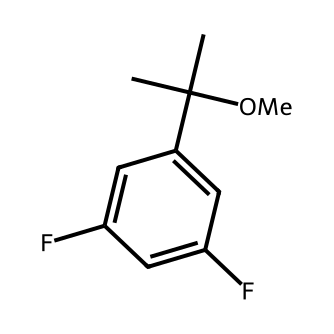 COC(C)(C)c1cc(F)cc(F)c1